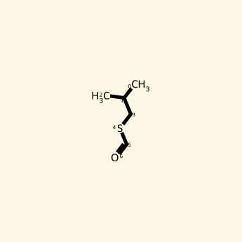 CC(C)CS[C]=O